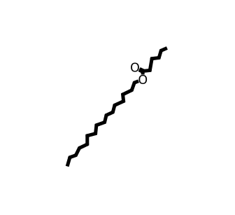 CCCCCCCCCCCCCCCCOC(=O)CCCCC